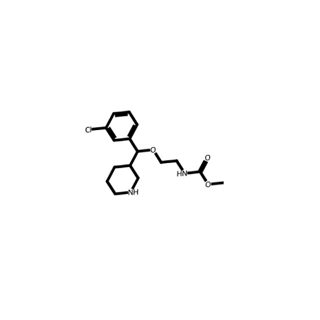 COC(=O)NCCOC(c1cccc(Cl)c1)C1CCCNC1